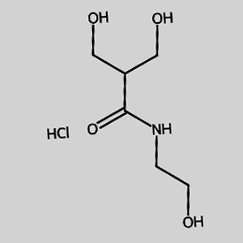 Cl.O=C(NCCO)C(CO)CO